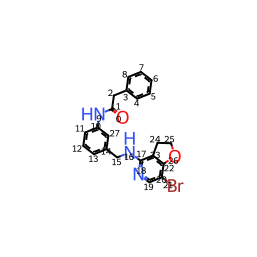 O=C(Cc1ccccc1)Nc1cccc(CNc2ncc(Br)c3c2CCO3)c1